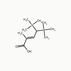 CC(=CC([Si](C)(C)C)[Si](C)(C)C)C(=O)O